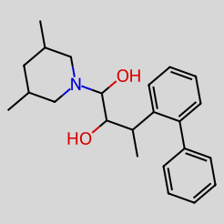 CC1CC(C)CN(C(O)C(O)C(C)c2ccccc2-c2ccccc2)C1